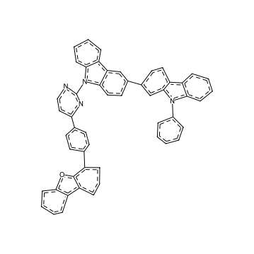 c1ccc(-n2c3ccccc3c3ccc(-c4ccc5c(c4)c4ccccc4n5-c4nccc(-c5ccc(-c6cccc7c6oc6ccccc67)cc5)n4)cc32)cc1